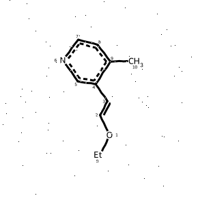 CCOC=Cc1cnccc1C